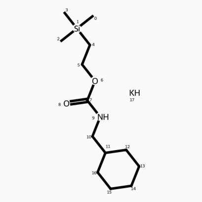 C[Si](C)(C)CCOC(=O)NCC1CCCCC1.[KH]